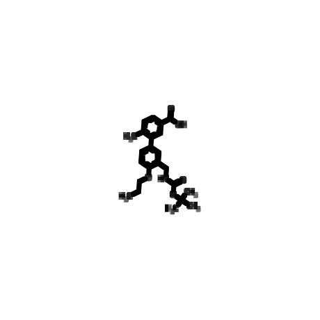 CCCOc1ccc(-c2cc(C(=O)O)ccc2C)cc1CNC(=O)OC(C)(C)C